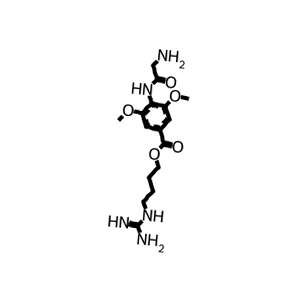 COc1cc(C(=O)OCCCCNC(=N)N)cc(OC)c1NC(=O)CN